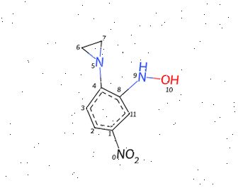 O=[N+]([O-])c1ccc(N2CC2)c(NO)c1